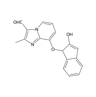 Cc1nc2c(OC3C(O)=Cc4ccccc43)cccn2c1C=O